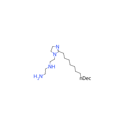 CCCCCCCCCCCCCCCCCC1=NCCN1CCNCCN